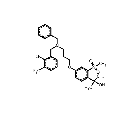 CC(C)(O)c1ccc(OCCCN(Cc2ccccc2)Cc2cccc(C(F)(F)F)c2Cl)cc1S(C)(=O)=O